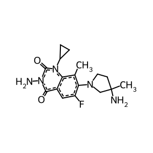 Cc1c(N2CCC(C)(N)C2)c(F)cc2c(=O)n(N)c(=O)n(C3CC3)c12